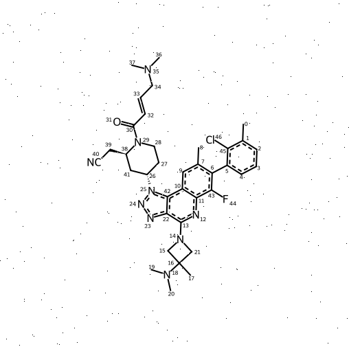 Cc1cccc(-c2c(C)cc3c(nc(N4CC(C)(N(C)C)C4)c4nnn([C@H]5CCN(C(=O)/C=C/CN(C)C)[C@H](CC#N)C5)c43)c2F)c1Cl